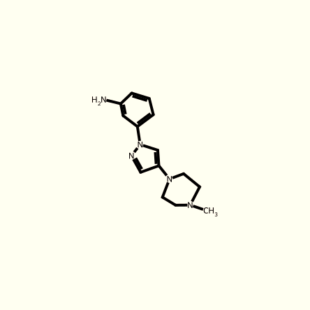 CN1CCN(c2cnn(-c3cccc(N)c3)c2)CC1